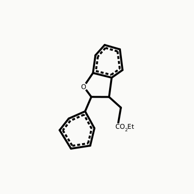 CCOC(=O)CC1c2ccccc2OC1c1ccccc1